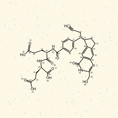 C#CCN(c1ccc(C(=O)N[C@H](CCC(=O)O)C(=O)N[C@H](CCC(=O)O)C(=O)O)cc1)[C@H]1CCc2cc3nc(CO)[nH]c(=O)c3cc21